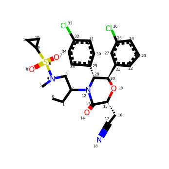 CCC(CN(C)S(=O)(=O)C1CC1)N1C(=O)[C@@H](CC#N)O[C@H](c2cccc(Cl)c2)[C@H]1c1ccc(Cl)cc1